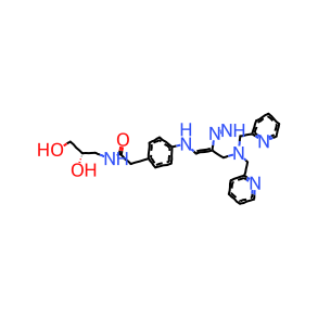 N=N/C(=C\Nc1ccc(CC(=O)NC[C@H](O)CO)cc1)CN(Cc1ccccn1)Cc1ccccn1